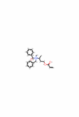 C=CC(=O)OCCC(C)[N+](C)(Cc1ccccc1)C(=O)c1ccccc1